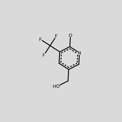 [O]c1ncc(CO)cc1C(F)(F)F